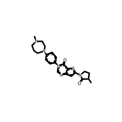 CC1CCN(c2cc3ncn(-c4ccc(N5CCCN(C)CC5)cc4)c(=O)c3s2)C1=O